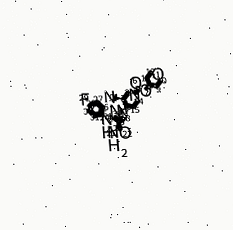 N#C[C@H]1CN(C(=O)OC2CCOCC2)CC[C@@H]1n1cc(C(N)=O)c(Nc2ccc(F)cc2)n1